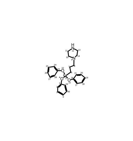 c1ccc(O[Si](CCCN2CCNCC2)(Oc2ccccc2)Oc2ccccc2)cc1